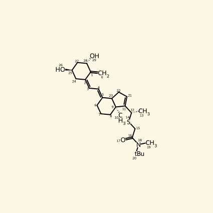 C=C1C(=CC=C2CCC[C@]3(C)C([C@H](C)SCC(=O)N(C)C(C)(C)C)=CCC23)C[C@@H](O)C[C@@H]1O